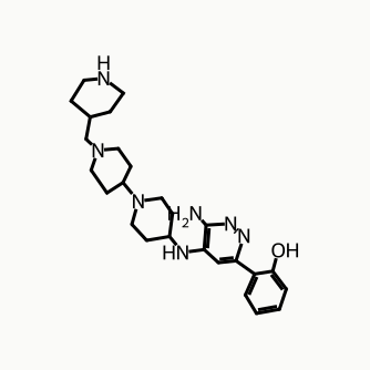 Nc1nnc(-c2ccccc2O)cc1NC1CCN(C2CCN(CC3CCNCC3)CC2)CC1